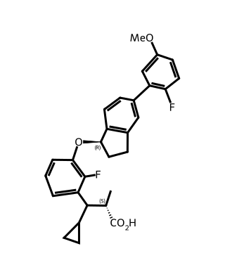 COc1ccc(F)c(-c2ccc3c(c2)CC[C@H]3Oc2cccc(C(C3CC3)[C@H](C)C(=O)O)c2F)c1